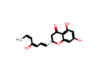 C\C=C/C(O)=C\C=C\[C@@H]1CC(=O)c2c(O)cc(O)cc2O1